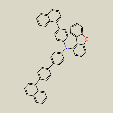 c1ccc2c(-c3ccc(-c4ccc(N(c5ccc(-c6cccc7ccccc67)cc5)c5cccc6oc7ccccc7c56)cc4)cc3)cccc2c1